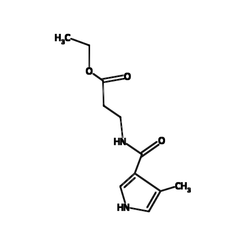 CCOC(=O)CCNC(=O)c1c[nH]cc1C